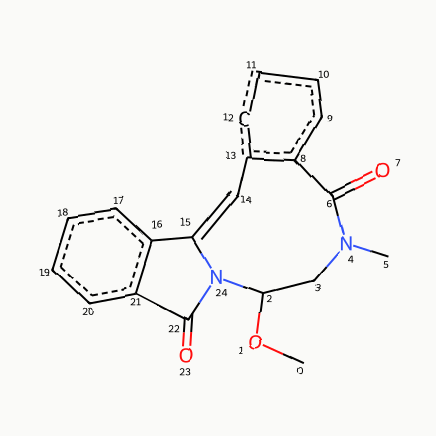 COC1CN(C)C(=O)c2ccccc2/C=C2\c3ccccc3C(=O)N21